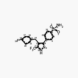 NS(=O)(=O)c1ccc(-c2n[nH]c(C(F)(F)F)c2Cc2ccc(F)cc2)cc1